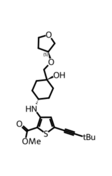 COC(=O)c1sc(C#CC(C)(C)C)cc1N[C@H]1CC[C@@](O)(CO[C@H]2CCOC2)CC1